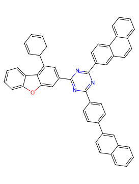 C1=CCC(c2cc(-c3nc(-c4ccc(-c5ccc6ccccc6c5)cc4)nc(-c4ccc5c(ccc6ccccc65)c4)n3)cc3oc4ccccc4c23)C=C1